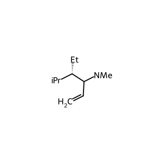 C=CC(NC)[C@@H](CC)C(C)C